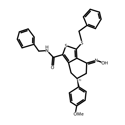 COc1ccc([C@@H]2CC(=NO)c3c(SCc4ccccc4)sc(C(=O)NCc4ccccc4)c3C2)cc1